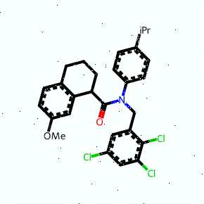 COc1ccc2c(c1)C(C(=O)N(Cc1cc(Cl)cc(Cl)c1Cl)c1ccc(C(C)C)cc1)CCC2